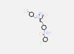 O=C(Nc1ccc(-c2cc3c(s2)c(=O)ncn3Cc2ccc(Cl)cc2)cc1)c1cc(F)ccc1F